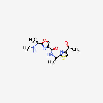 C=C(NC)c1nc(C(=O)NC(=C)c2nc(C(C)=O)cs2)co1